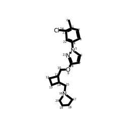 Cc1ccc(-n2ccc(OCC3CCC3CN3CCCC3)n2)cc1Cl